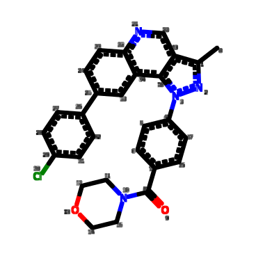 Cc1nn(-c2ccc(C(=O)N3CCOCC3)cc2)c2c1cnc1ccc(-c3ccc(Cl)cc3)cc12